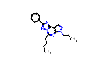 CCCCc1nc2c(cnn2CCC)c2nc(-c3ccccc3)nn12